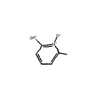 Cc1cccc(C=O)[n+]1[O-]